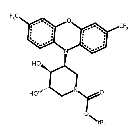 CC(C)(C)OC(=O)N1C[C@H](O)[C@@H](O)[C@@H](N2c3ccc(C(F)(F)F)cc3Oc3cc(C(F)(F)F)ccc32)C1